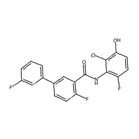 O=C(Nc1c(F)ccc(O)c1Cl)c1cc(-c2cccc(F)c2)ccc1F